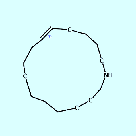 C1=C\CCCCNCCCCCCCCC/1